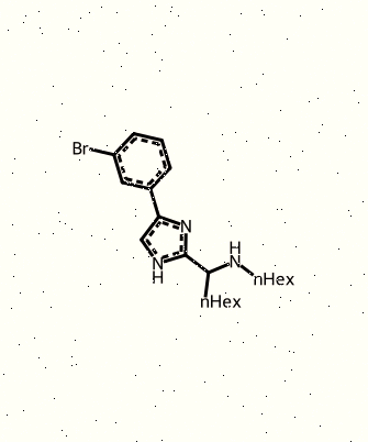 CCCCCCNC(CCCCCC)c1nc(-c2cccc(Br)c2)c[nH]1